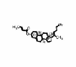 C/C=C/C(=O)O[C@H]1CC[C@@]2(C)C(=CC[C@H]3[C@@H]4CC[C@H]([C@H](C)CCCC(C)C)[C@@]4(C)CC[C@@H]32)C1